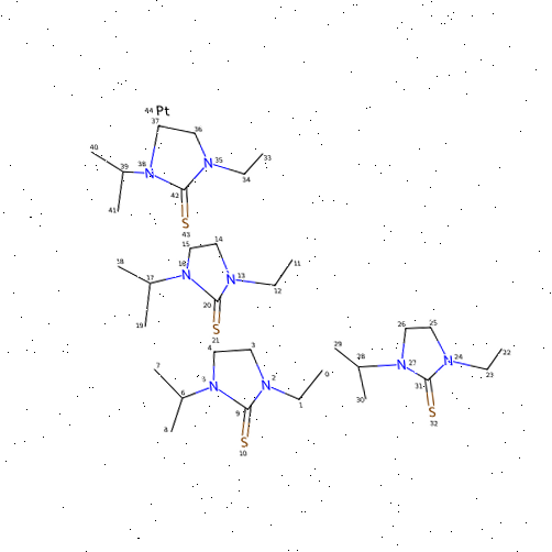 CCN1CCN(C(C)C)C1=S.CCN1CCN(C(C)C)C1=S.CCN1CCN(C(C)C)C1=S.CCN1CCN(C(C)C)C1=S.[Pt]